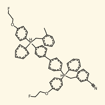 Cc1ccccc1C[PH](c1ccccc1)(c1ccc(OCCF)cc1)c1ccc(-c2ccc([PH](Cc3cccc(C#N)c3)(c3ccccc3)c3ccc(OCCF)cc3)cc2)cc1